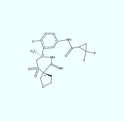 C[C@@]1(c2cc(NC(=O)C3CC3(F)F)ccc2F)CS(=O)(=O)[C@]2(CCOC2)C(=N)N1